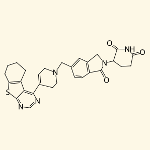 O=C1CCC(N2Cc3cc(CN4CC=C(c5ncnc6sc7c(c56)CCCC7)CC4)ccc3C2=O)C(=O)N1